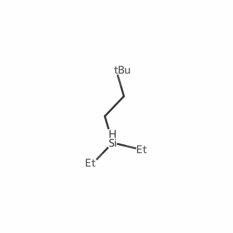 CC[SiH](CC)CCC(C)(C)C